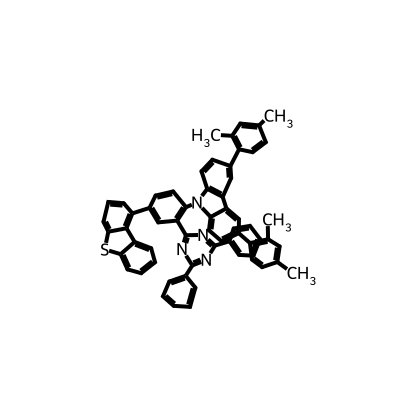 Cc1ccc(-c2ccc3c(c2)c2cc(-c4ccc(C)cc4C)ccc2n3-c2ccc(-c3cccc4sc5ccccc5c34)cc2-c2nc(-c3ccccc3)nc(-c3ccccc3)n2)c(C)c1